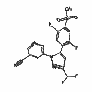 CS(=O)(=O)c1cc(F)c(-c2cc(C(F)F)nn2-c2cccc(C#N)c2)cc1F